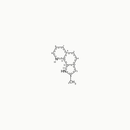 Cc1cc2ccc3cccnc3c2[nH]1